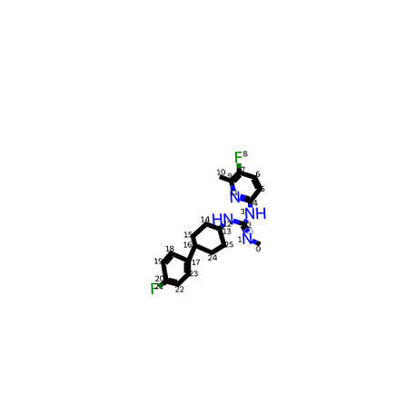 C/N=C(\Nc1ccc(F)c(C)n1)NC1CCC(c2ccc(F)cc2)CC1